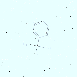 CCCCCCCC(CCCC)(CCCC)c1ccccc1O